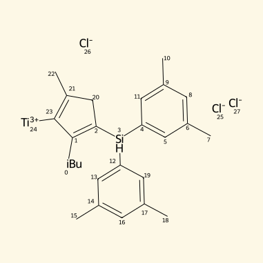 CCC(C)C1=C([SiH](c2cc(C)cc(C)c2)c2cc(C)cc(C)c2)CC(C)=[C]1[Ti+3].[Cl-].[Cl-].[Cl-]